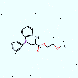 COCCOC(=O)C(C)CP(c1ccccc1)c1ccccc1